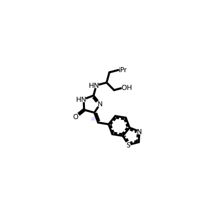 CC(C)CC(CO)NC1=N/C(=C\c2ccc3ncsc3c2)C(=O)N1